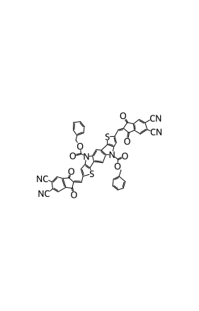 N#Cc1cc2c(cc1C#N)C(=O)C(=Cc1cc3c(s1)c1cc4c(cc1n3C(=O)OCc1ccccc1)c1sc(C=C3C(=O)c5cc(C#N)c(C#N)cc5C3=O)cc1n4C(=O)OCc1ccccc1)C2=O